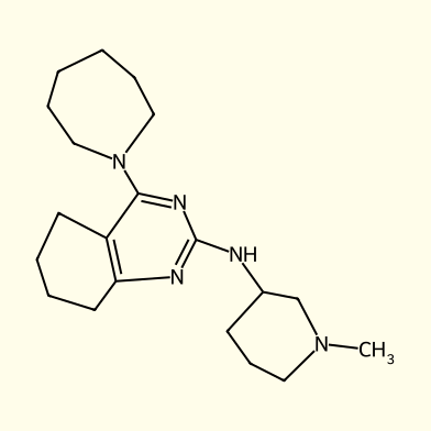 CN1CCCC(Nc2nc3c(c(N4CCCCCC4)n2)CCCC3)C1